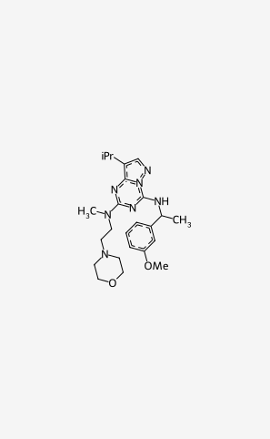 COc1cccc(C(C)Nc2nc(N(C)CCN3CCOCC3)nc3c(C(C)C)cnn23)c1